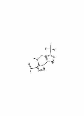 CC(=O)c1ncc2n1[C@@H](C)Cn1c-2nnc1C(F)(F)F